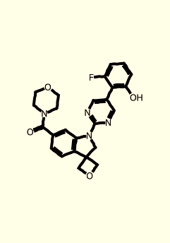 O=C(c1ccc2c(c1)N(c1ncc(-c3c(O)cccc3F)cn1)CC21COC1)N1CCOCC1